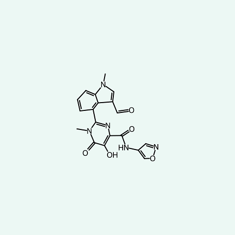 Cn1c(-c2cccc3c2c(C=O)cn3C)nc(C(=O)Nc2cnoc2)c(O)c1=O